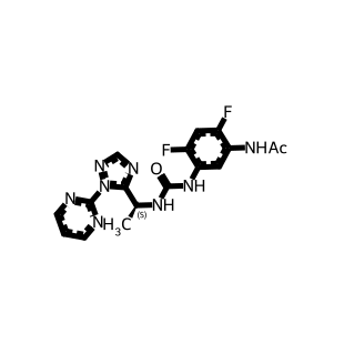 CC(=O)Nc1cc(NC(=O)N[C@@H](C)c2ncnn2-c2ncccn2)c(F)cc1F